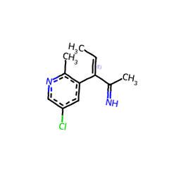 C/C=C(/C(C)=N)c1cc(Cl)cnc1C